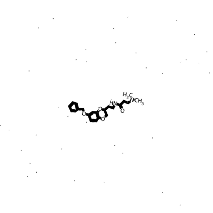 CN(C)CCC(=O)NCCC1COc2ccc(OCc3ccccc3)cc2O1